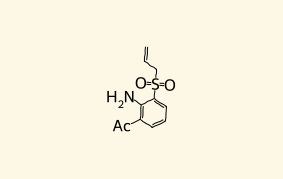 C=CCS(=O)(=O)c1cccc(C(C)=O)c1N